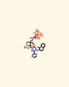 CC(C)C[C@H](NC(=O)[C@H](Cc1cccc2ccccc12)NC(=O)c1cnccn1)C12COCCC1(CCNC(=O)CC(O)(P(=O)(O)O)P1(=O)OO1)CCO2